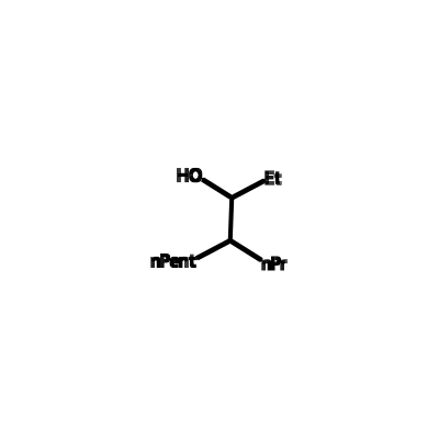 CCCCCC(CCC)C(O)CC